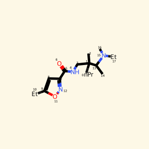 CCCC(C)(CNC(=O)c1cc(CC)on1)C(C)N(C)CC